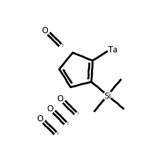 C[Si](C)(C)C1=[C]([Ta])CC=C1.[C]=O.[C]=O.[C]=O.[C]=O